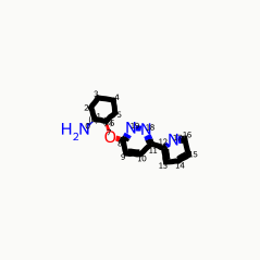 N[C@@H]1CCCC[C@H]1Oc1ccc(-c2ccccn2)nn1